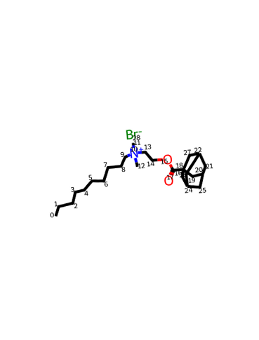 CCCCCCCCCC[N+](C)(C)CCOC(=O)C12CC3CC(CC(C3)C1)C2.[Br-]